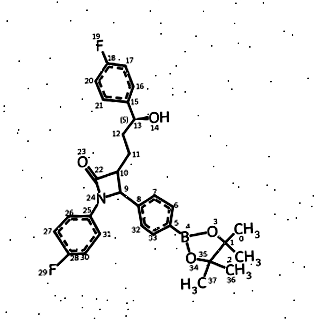 CC1(C)OB(c2ccc(C3C(CC[C@H](O)c4ccc(F)cc4)C(=O)N3c3ccc(F)cc3)cc2)OC1(C)C